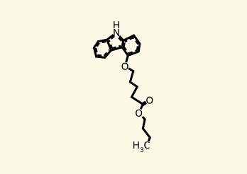 CCCCOC(=O)CCCCOc1cccc2[nH]c3ccccc3c12